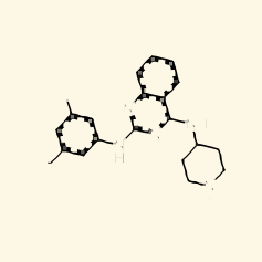 Clc1cc(Cl)cc(Nc2nc(NC3CCNCC3)c3ccccc3n2)c1